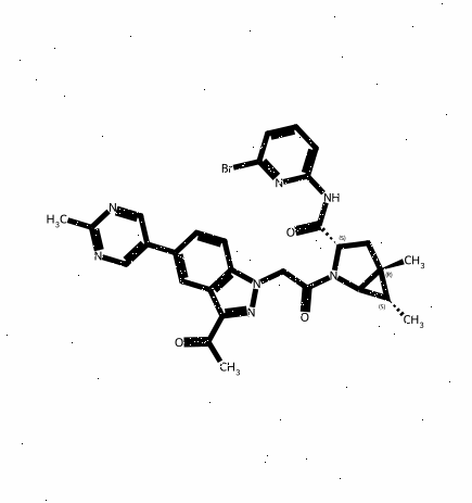 CC(=O)c1nn(CC(=O)N2C3[C@@H](C)[C@@]3(C)C[C@H]2C(=O)Nc2cccc(Br)n2)c2ccc(-c3cnc(C)nc3)cc12